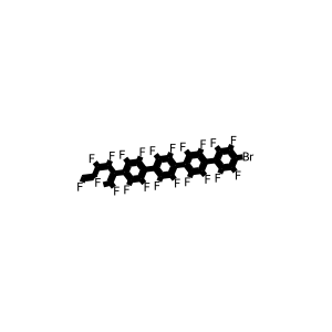 C\C(F)=C(/C(F)=C(F)\C(F)=C\F)c1c(F)c(F)c(-c2c(F)c(F)c(-c3c(F)c(F)c(-c4c(F)c(F)c(Br)c(F)c4F)c(F)c3F)c(F)c2F)c(F)c1F